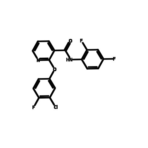 O=C(Nc1ccc(F)cc1F)c1cccnc1Oc1ccc(F)c(Cl)c1